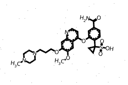 COc1cc2c(Oc3cc(C(N)=O)ccc3C3(S(=O)(=O)O)CC3)ccnc2cc1OCCCN1CCN(C)CC1